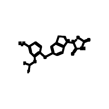 Nc1ccc(Oc2ccc3c(c2)CC[C@H]3[C@@H]2OC(=O)NC2=O)c(OC(F)F)c1